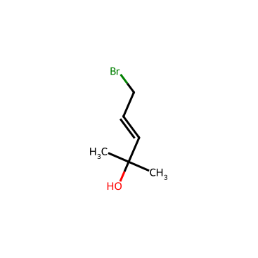 CC(C)(O)C=CCBr